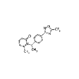 Cc1cccc(=O)n1C(C)c1ccc(-c2noc(C(F)(F)F)n2)cc1